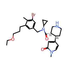 CCOCCCc1cc(CN(C(=O)[C@@H]2CNCC[C@H]2c2ccn(C)c(=O)c2)C2CC2)cc(Br)c1C